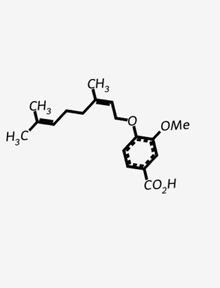 COc1cc(C(=O)O)ccc1OCC=C(C)CCC=C(C)C